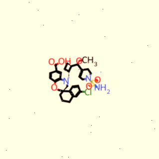 CO[C@@H](C1=CCN(S(N)(=O)=O)CC1)[C@@H]1CC[C@H]1CN1C[C@@]2(CCCc3cc(Cl)ccc32)COc2ccc(C(=O)O)cc21